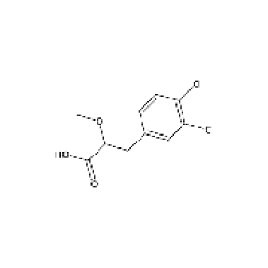 COC(Cc1ccc(Cl)c(Cl)c1)C(=O)O